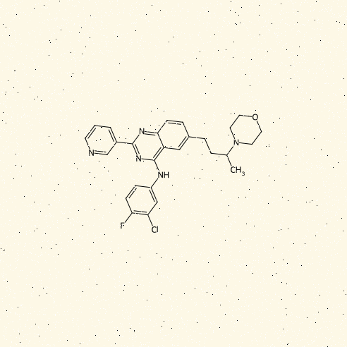 CC(CCc1ccc2nc(-c3cccnc3)nc(Nc3ccc(F)c(Cl)c3)c2c1)N1CCOCC1